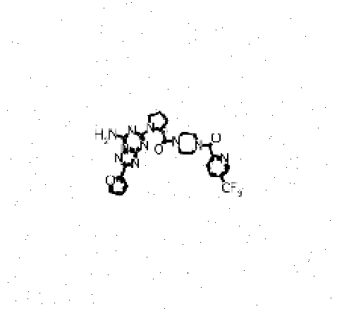 Nc1nc(N2CCC[C@H]2C(=O)N2CCN(C(=O)c3ccc(C(F)(F)F)cn3)CC2)nc2nc(-c3ccco3)nn12